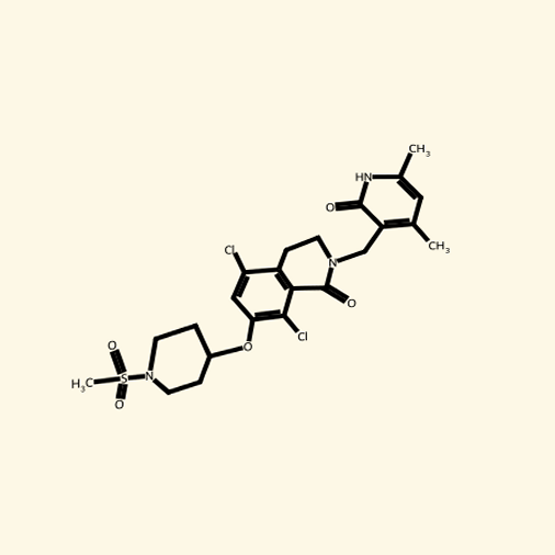 Cc1cc(C)c(CN2CCc3c(Cl)cc(OC4CCN(S(C)(=O)=O)CC4)c(Cl)c3C2=O)c(=O)[nH]1